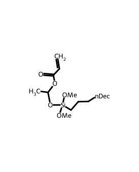 C=CC(=O)OC(C)O[Si](CCCCCCCCCCCCC)(OC)OC